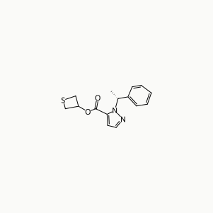 C[C@H](c1ccccc1)n1nccc1C(=O)OC1CSC1